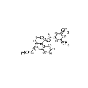 CC(OC1OCC[C@@H](C#CCO)[C@@H]1c1ccccc1)c1cc(C(F)(F)F)cc(C(F)(F)F)c1